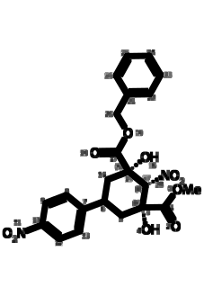 COC(=O)[C@@]1(O)CC(c2ccc([N+](=O)[O-])cc2)C[C@@](O)(C(=O)OCc2ccccc2)[C@@H]1[N+](=O)[O-]